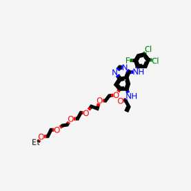 C=CC(=O)Nc1cc2c(Nc3cc(Cl)c(Cl)cc3F)ncnc2cc1OCCOCCOCCOCCOCCOCC